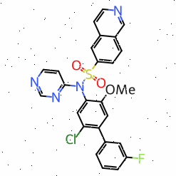 COc1cc(-c2cccc(F)c2)c(Cl)cc1N(c1ccncn1)S(=O)(=O)c1ccc2cnccc2c1